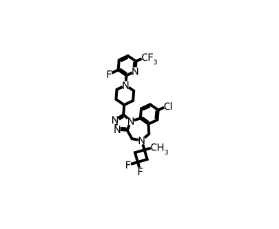 CC1(N2Cc3cc(Cl)ccc3-n3c(nnc3C3CCN(c4nc(C(F)(F)F)ccc4F)CC3)C2)CC(F)(F)C1